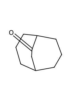 O=C1CC2CCCC1CCC2